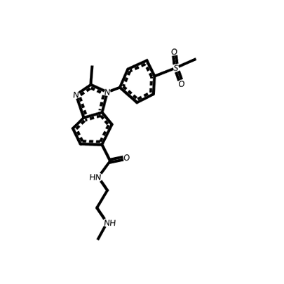 CNCCNC(=O)c1ccc2nc(C)n(-c3ccc(S(C)(=O)=O)cc3)c2c1